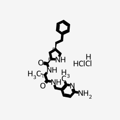 Cc1nc(N)ccc1CNC(=O)[C@H](C)NC(=O)[C@H]1C[C@@H](CCc2ccccc2)CN1.Cl.Cl